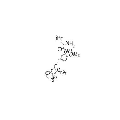 CCCOc1cc2c(cc1CCCc1ccc(OC)c(NC(=O)[C@@H](N)CC(C)C)c1)OCCS2(=O)=O